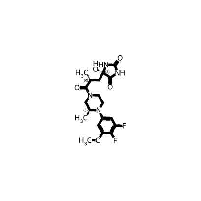 COc1cc(N2CCN(C(=O)[C@H](C)C[C@@]3(O)NC(=O)NC3=O)C[C@@H]2C)cc(F)c1F